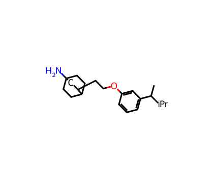 CC(C)C(C)c1cccc(OCCC2CC3(N)CCC2CC3)c1